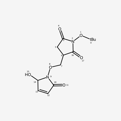 CC(C)(C)ON1C(=O)CC(CON2C(=O)C=CC2O)C1=O